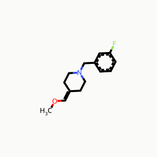 COC=C1CCN(Cc2cccc(F)c2)CC1